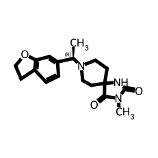 C[C@H](c1ccc2c(c1)OCC2)N1CCC2(CC1)NC(=O)N(C)C2=O